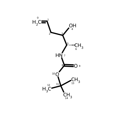 C=CCC(O)[C@H](C)NC(=O)OC(C)(C)C